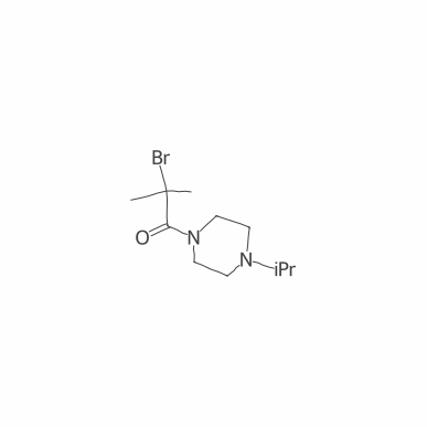 CC(C)N1CCN(C(=O)C(C)(C)Br)CC1